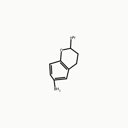 Bc1ccc2c(c1)CCC(CCC)O2